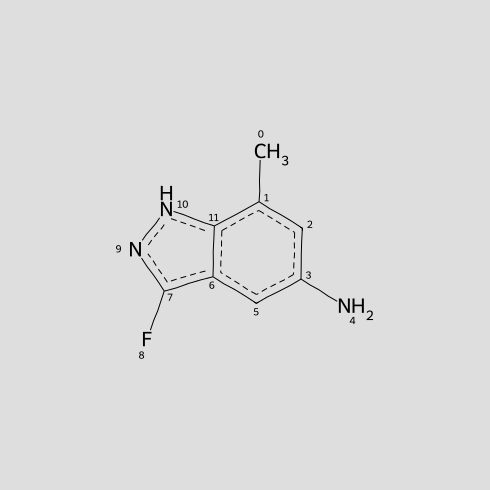 Cc1cc(N)cc2c(F)n[nH]c12